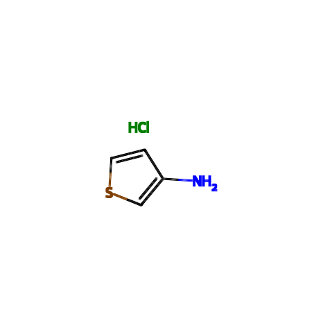 Cl.Nc1ccsc1